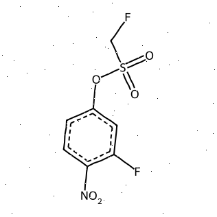 O=[N+]([O-])c1ccc(OS(=O)(=O)CF)cc1F